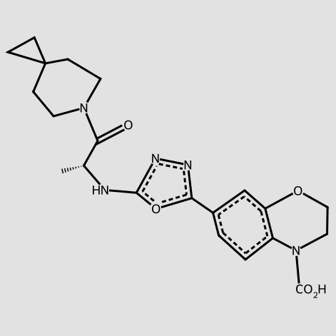 C[C@@H](Nc1nnc(-c2ccc3c(c2)OCCN3C(=O)O)o1)C(=O)N1CCC2(CC1)CC2